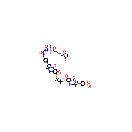 COc1cc2c(cc1OCC(C)(C)CC(C)(C)COc1cc3c(cc1OC)C(=O)N1C=C(c4ccc(C(=O)O)cc4)C[C@H]1C=N3)N=C[C@@H]1CC(c3ccc(CNC(=O)[C@H](C)NC(=O)C(NC(=O)CCCCCN4C(=O)C=CC4=O)C(C)C)cc3)=CN1C2=O